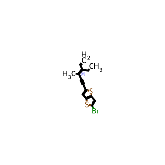 C=C/C(CC)=C(\C)C#Cc1cc2sc(Br)cc2s1